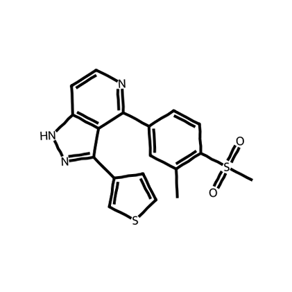 Cc1cc(-c2nccc3[nH]nc(-c4ccsc4)c23)ccc1S(C)(=O)=O